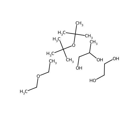 CC(C)(C)OC(C)(C)C.CC(O)CO.CCOCC.OCCO